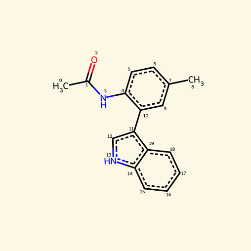 CC(=O)Nc1ccc(C)cc1-c1c[nH]c2ccccc12